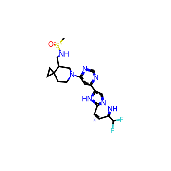 C[S+]([O-])NCC1CN(c2cc(-c3cnc(/C=C\C(=N)C(F)F)[nH]3)ncn2)CCC12CC2